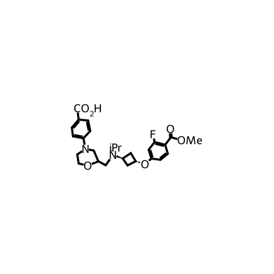 COC(=O)c1ccc(O[C@H]2C[C@H](N(CC3CN(c4ccc(C(=O)O)cc4)CCO3)C(C)C)C2)cc1F